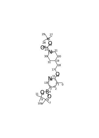 Cc1cc(B2OC(C)(C)C(C)(C)O2)cnc1OCCC1CCN(C(=O)OC(C)(C)C)CC1